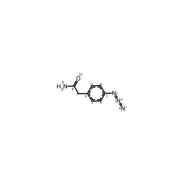 [N-]=[N+]=Nc1ccc(CC(N)=O)cc1